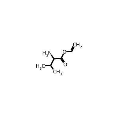 C=COC(=O)C(N)C(C)C